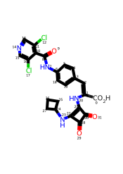 O=C(O)C(=Cc1ccc(NC(=O)c2c(Cl)cncc2Cl)cc1)Nc1c(NC2CCC2)c(=O)c1=O